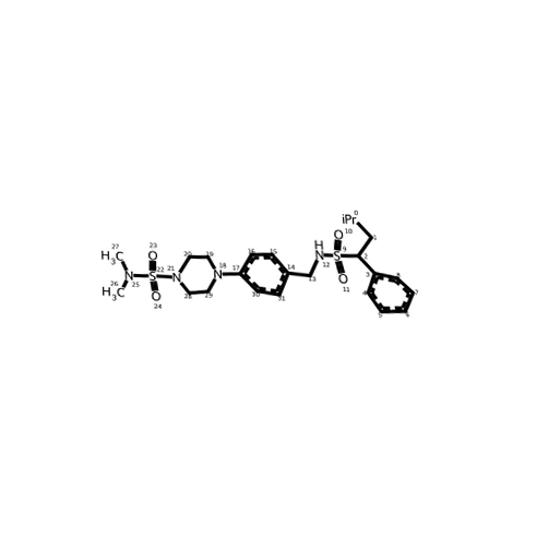 CC(C)CC(c1ccccc1)S(=O)(=O)NCc1ccc(N2CCN(S(=O)(=O)N(C)C)CC2)cc1